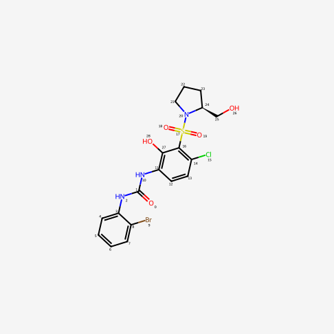 O=C(Nc1ccccc1Br)Nc1ccc(Cl)c(S(=O)(=O)N2CCC[C@H]2CO)c1O